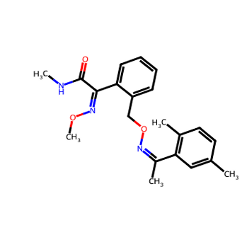 CNC(=O)C(=NOC)c1ccccc1CON=C(C)c1cc(C)ccc1C